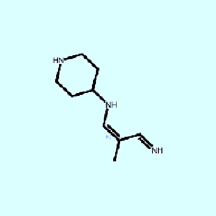 C/C(C=N)=C/NC1CCNCC1